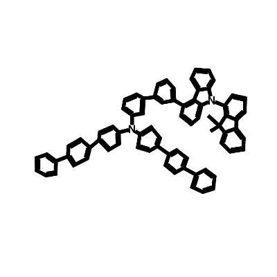 CC1(C)c2ccccc2-c2cccc(-n3c4ccccc4c4c(-c5cccc(-c6cccc(N(c7ccc(-c8ccc(-c9ccccc9)cc8)cc7)c7ccc(-c8ccc(-c9ccccc9)cc8)cc7)c6)c5)cccc43)c21